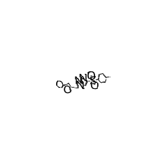 Cc1ccc(S(=O)(=O)c2cn(CC3CC(=O)O3)nn2)cc1